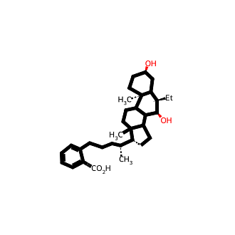 CC[C@@H]1C2C[C@H](O)CC[C@]2(C)C2CCC3(C)C(CC[C@@H]3[C@H](C)CCCc3ccccc3C(=O)O)C2[C@@H]1O